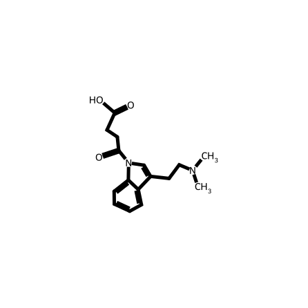 CN(C)CCc1cn(C(=O)CCC(=O)O)c2ccccc12